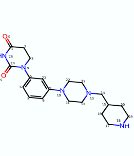 O=C1CCN(c2cccc(N3CCN(CC4CCNCC4)CC3)c2)C(=O)N1